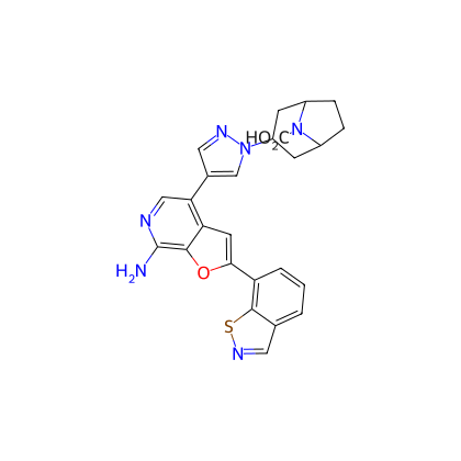 Nc1ncc(-c2cnn(C3CC4CCC(C3)N4C(=O)O)c2)c2cc(-c3cccc4cnsc34)oc12